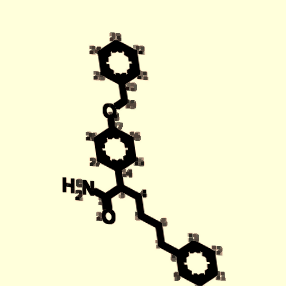 NC(=O)C(CCCCc1ccccc1)c1ccc(OCc2ccccc2)cc1